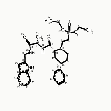 CCOP(=O)(CCN1CC[C@H](c2ccccc2)C[C@@H]1C(=O)N[C@@H](C)C(=O)NCc1cc2cnccc2[nH]1)OCC